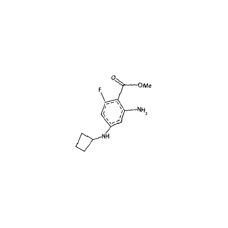 COC(=O)c1c(N)cc(NC2CCC2)cc1F